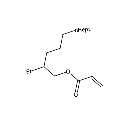 C=CC(=O)OCC(CC)CCCCCCCCCC